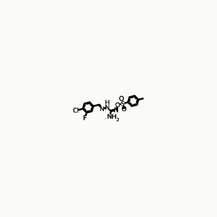 Cc1ccc(S(=O)(=O)ON=C(N)NN=Cc2ccc(Cl)c(F)c2)cc1